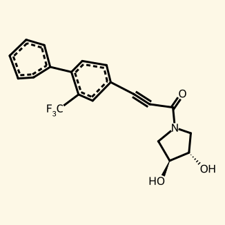 O=C(C#Cc1ccc(-c2ccccc2)c(C(F)(F)F)c1)N1C[C@H](O)[C@@H](O)C1